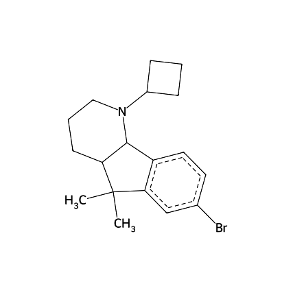 CC1(C)c2cc(Br)ccc2C2C1CCCN2C1CCC1